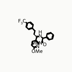 CNC(=O)C(N[C@H](CCc1ccc(C(F)(F)F)cc1)c1ccc(OC)nc1)c1ccccc1